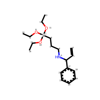 C=CC(NCCC[Si](OCC)(OCC)OCC)c1ccccc1